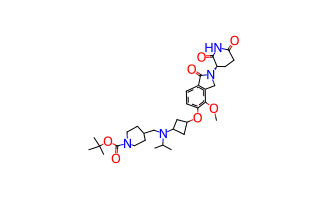 COc1c(OC2CC(N(CC3CCN(C(=O)OC(C)(C)C)CC3)C(C)C)C2)ccc2c1CN([C@@H]1CCC(=O)NC1=O)C2=O